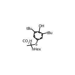 CCCCCCC(C)(Sc1cc(C(C)(C)C)c(O)c(C(C)(C)C)c1)C(=O)O